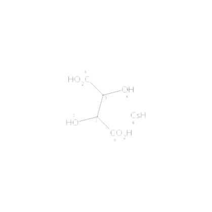 O=C(O)C(O)C(O)C(=O)O.[CsH]